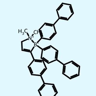 C[N+]1(C)CC=C(c2ccc(-c3ccccc3)cc2)[B-]1(c1ccc(-c2ccccc2)cc1)c1ccc(-c2ccccc2)cc1